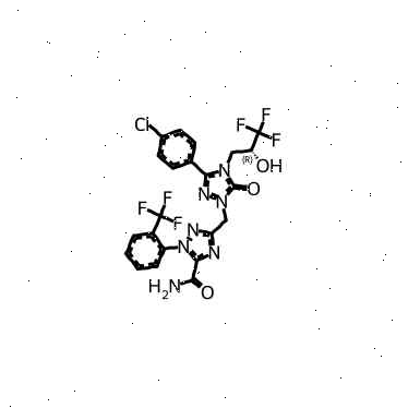 NC(=O)c1nc(Cn2nc(-c3ccc(Cl)cc3)n(C[C@@H](O)C(F)(F)F)c2=O)nn1-c1ccccc1C(F)(F)F